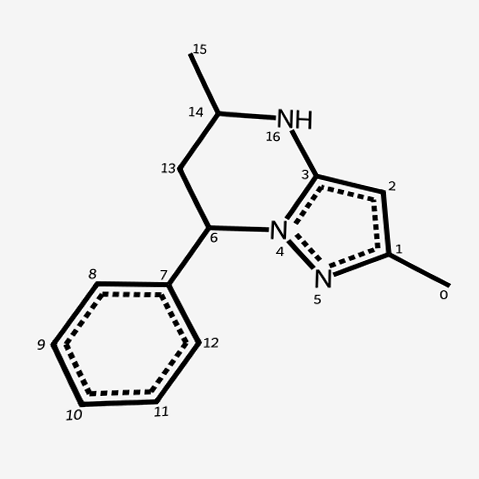 Cc1cc2n(n1)C(c1ccccc1)CC(C)N2